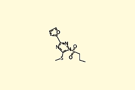 CCCS(=O)(=O)n1nc(-c2ccco2)nc1SC